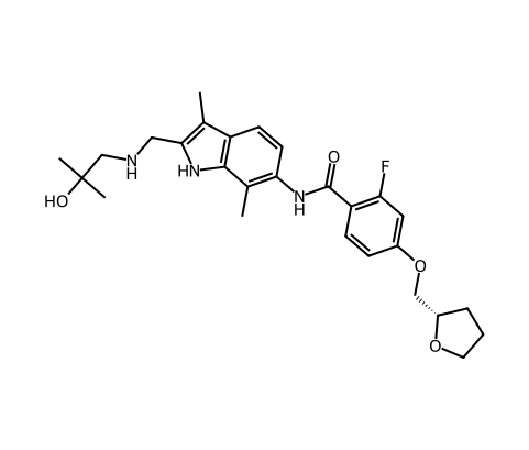 Cc1c(CNCC(C)(C)O)[nH]c2c(C)c(NC(=O)c3ccc(OC[C@@H]4CCCO4)cc3F)ccc12